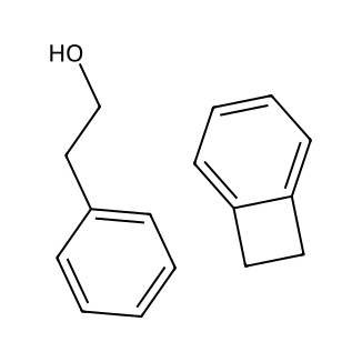 OCCc1ccccc1.c1ccc2c(c1)CC2